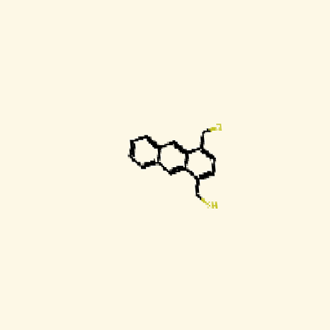 SCc1ccc(CS)c2cc3ccccc3cc12